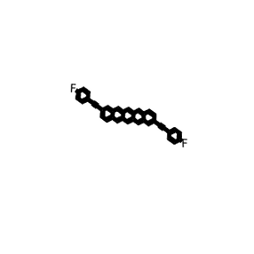 Fc1ccc(C#Cc2ccc3cc4cc5cc6cc(C#Cc7ccc(F)cc7)ccc6cc5cc4cc3c2)cc1